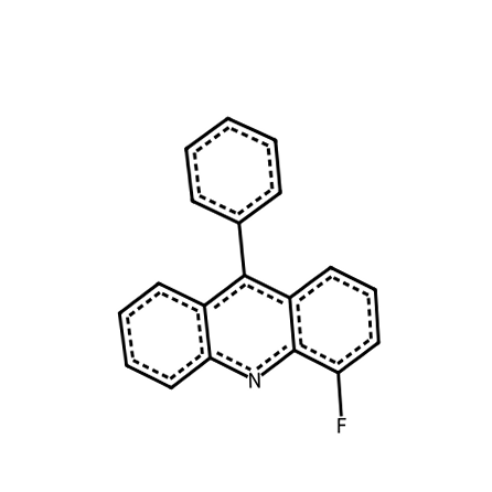 Fc1cccc2c(-c3ccccc3)c3ccccc3nc12